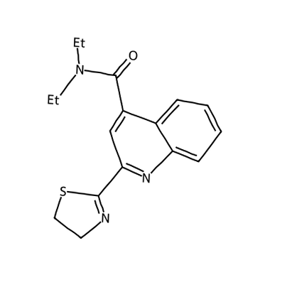 CCN(CC)C(=O)c1cc(C2=NCCS2)nc2ccccc12